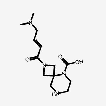 CN(C)CC=CC(=O)N1CC2(CNCCN2C(=O)O)C1